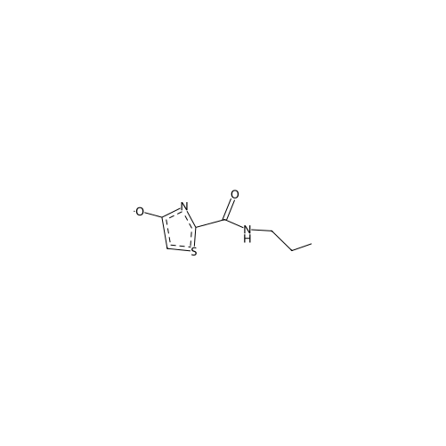 CCCNC(=O)c1nc([O])cs1